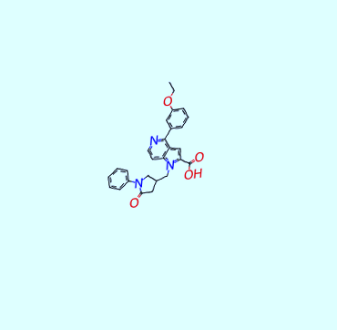 CCOc1cccc(-c2nccc3c2cc(C(=O)O)n3CC2CC(=O)N(c3ccccc3)C2)c1